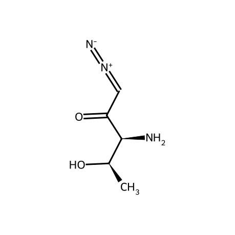 C[C@@H](O)[C@H](N)C(=O)C=[N+]=[N-]